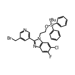 CC(C)(C)[Si](OCCn1c(-c2cncc(CBr)c2)nc2cc(F)c(Cl)cc21)(c1ccccc1)c1ccccc1